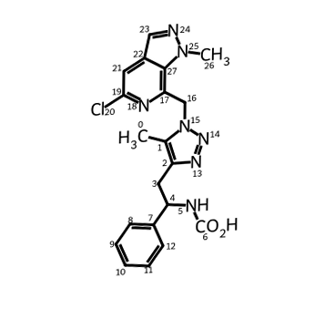 Cc1c(CC(NC(=O)O)c2ccccc2)nnn1Cc1nc(Cl)cc2cnn(C)c12